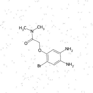 CN(C)C(=O)COc1cc(N)c(N)cc1Br